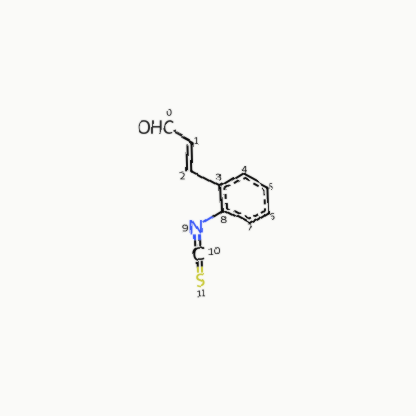 O=C/C=C/c1ccccc1N=C=S